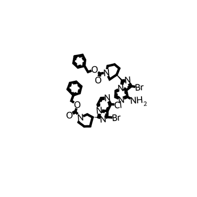 Nc1nccn2c([C@@H]3CCCN(C(=O)OCc4ccccc4)C3)nc(Br)c12.O=C(OCc1ccccc1)N1CCC[C@@H](c2nc(Br)c3c(Cl)nccn23)C1